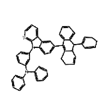 C1=CC(C2c3ccccc3C(c3ccc4c(c3)c3cccnc3n4-c3cccc(N(c4ccccc4)c4ccccc4)c3)=C3CCC=CC32)=CCC1